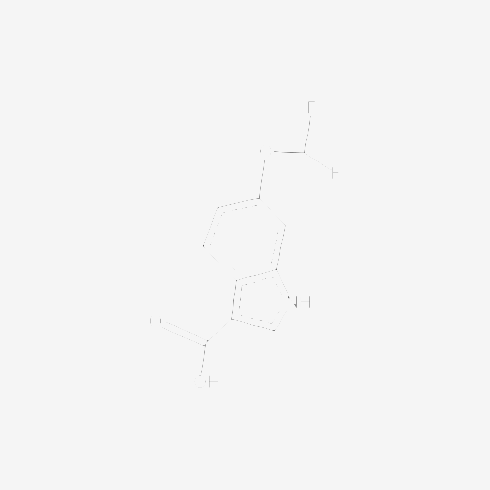 O=C(O)c1c[nH]c2cc(OC(F)F)ccc12